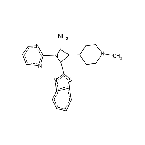 CN1CCC(C2C(N)N(c3ncccn3)C2c2nc3ccccc3s2)CC1